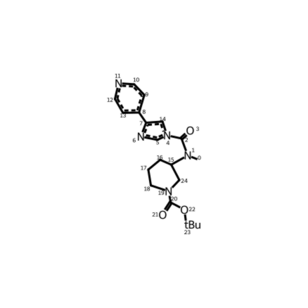 CN(C(=O)n1cnc(-c2ccncc2)c1)C1CCCN(C(=O)OC(C)(C)C)C1